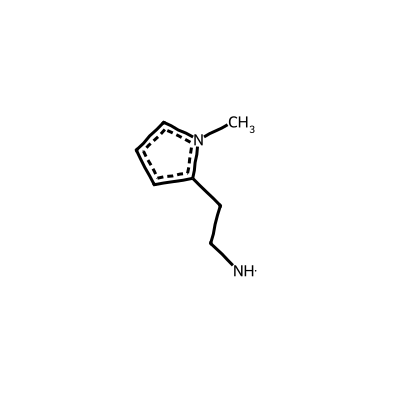 Cn1cccc1CC[NH]